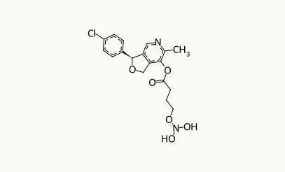 Cc1ncc2c(c1OC(=O)CCCON(O)O)CO[C@H]2c1ccc(Cl)cc1